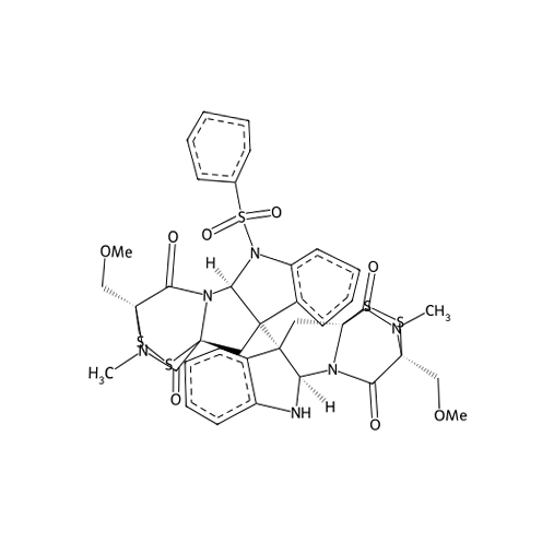 COC[C@]12SS[C@@]3(C[C@]4(C56C[C@@]78SS[C@@](COC)(C(=O)N7[C@H]5N(S(=O)(=O)c5ccccc5)c5ccccc56)N(C)C8=O)c5ccccc5N[C@@H]4N3C1=O)C(=O)N2C